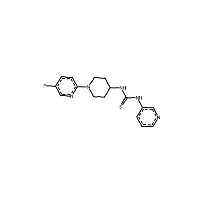 Fc1ccc(N2CCC(NC(=S)Nc3cccnc3)CC2)nc1